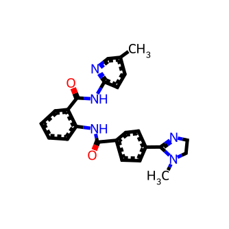 Cc1ccc(NC(=O)c2ccccc2NC(=O)c2ccc(C3=NCCN3C)cc2)nc1